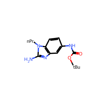 CCCn1c(N)nc2cc(NC(=O)OC(C)(C)C)ccc21